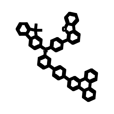 CC1(C)c2ccccc2-c2ccc(N(c3ccc(-c4cccc5c4oc4ccccc45)cc3)c3cccc(-c4ccc(-c5ccc6c7ccccc7c7ccccc7c6c5)cc4)c3)cc21